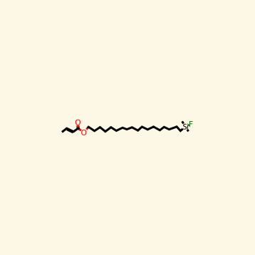 CC=CC(=O)OCCCCCCCCCCCCCCCCCC[Si](C)(C)F